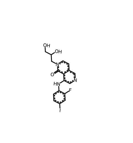 O=c1c2c(Nc3ccc(I)cc3F)cncc2ccn1CC(O)CO